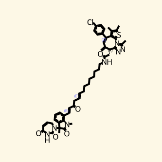 C=C1/C=C(/c2ccc(Cl)cc2)c2c(sc(C)c2C)-n2c(C)nnc2[C@@H]1CC(=O)NCCCCCCCC/C=C/CC(=O)/C=C/c1cccc2c1N(C)C(=O)C2(C)N1CC=CC(=O)NC1=O